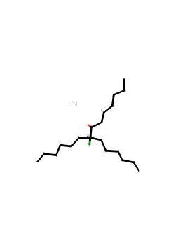 CCCCCCC(O)C(Br)(CCCCCC)CCCCCC.N